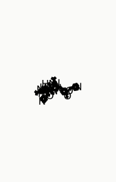 CCNC1(N(CC)c2ncc3nc(C(C)C)nc-3n2C(=O)c2ccncc2)N=CN(Cc2ccc(OC)c(OCc3ccncc3)c2)c2nc(C(C)C)[nH]c21